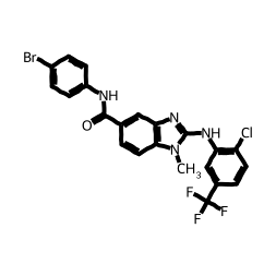 Cn1c(Nc2cc(C(F)(F)F)ccc2Cl)nc2cc(C(=O)Nc3ccc(Br)cc3)ccc21